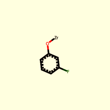 Fc1cccc([O][Zr])c1